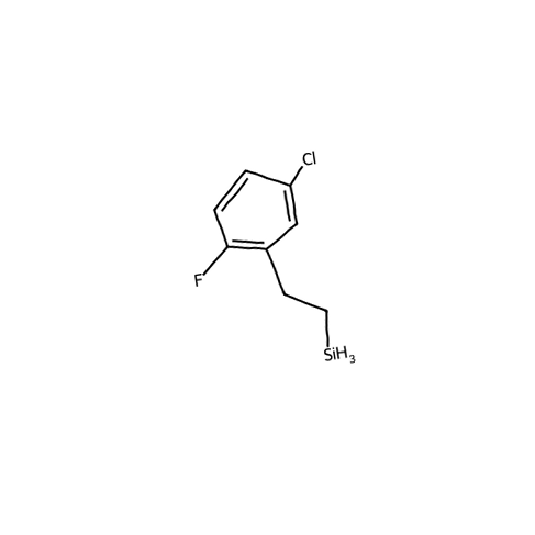 Fc1ccc(Cl)cc1CC[SiH3]